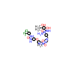 CC(C)c1cc(C(=N)N(C(N)=O)c2ccc(CN3CCN(C(=O)N(C)C(=O)c4cc(Oc5ccc(NC(=O)Nc6ccc(Cl)c(C(F)(F)F)c6)cc5)ccn4)CC3)cc2)c(O)cc1O